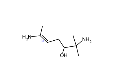 C/C(N)=C\CC(O)C(C)(C)N